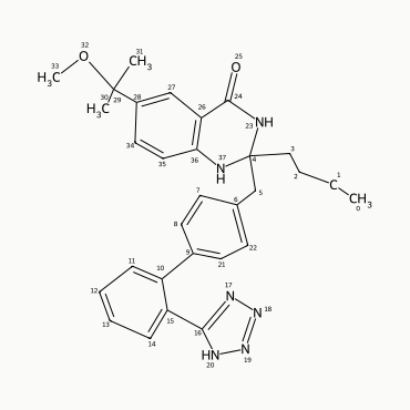 CCCCC1(Cc2ccc(-c3ccccc3-c3nnn[nH]3)cc2)NC(=O)c2cc(C(C)(C)OC)ccc2N1